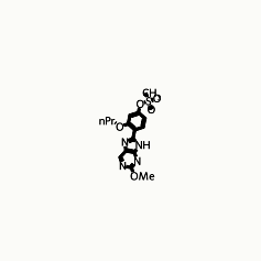 CCCOc1cc(OS(C)(=O)=O)ccc1-c1nc2cnc(OC)nc2[nH]1